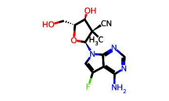 C[C@@]1(C#N)[C@H](O)[C@@H](CO)O[C@@H]1n1cc(F)c2c(N)ncnc21